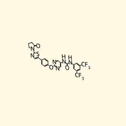 O=C(Nc1cnc(Oc2ccc(-c3cnc(N4CCCC4=O)s3)cc2)nc1)Nc1cc(C(F)(F)F)cc(C(F)(F)F)c1